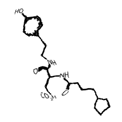 O=C(O)CC(NC(=O)CCCC1CCCC1)C(=O)NCCc1ccc(O)cc1